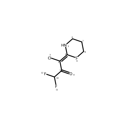 O=C(/C(Cl)=C1/NCCCS1)C(F)F